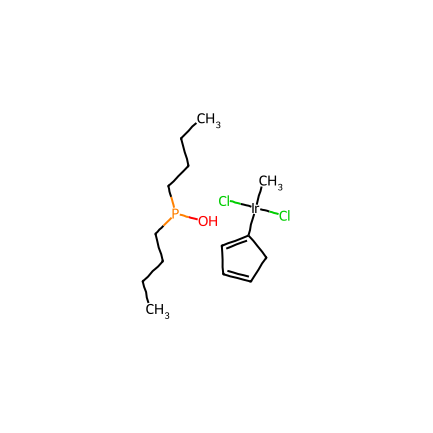 CCCCP(O)CCCC.[CH3][Ir]([Cl])([Cl])[C]1=CC=CC1